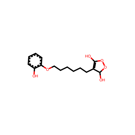 OC1=C(CCCCCCOc2ccccc2O)C(O)OO1